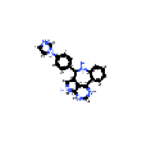 c1ccc2c(c1)NC(c1ccc(-n3ccnc3)cc1)c1c[nH]c3ncnc-2c13